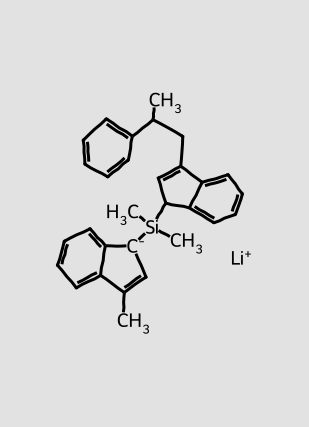 Cc1c[c-]([Si](C)(C)C2C=C(CC(C)c3ccccc3)c3ccccc32)c2ccccc12.[Li+]